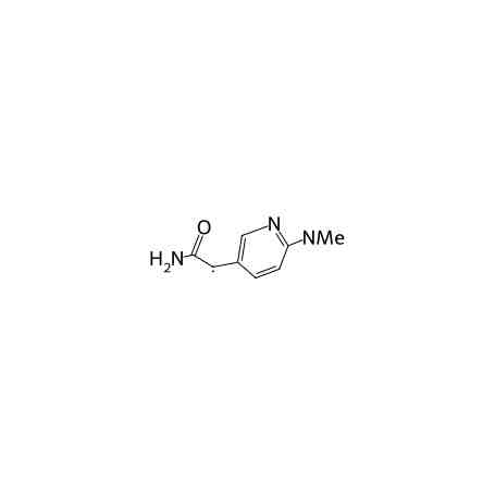 CNc1ccc([CH]C(N)=O)cn1